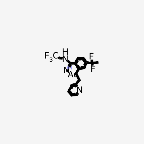 CC(=O)/N=C(/NCC(F)(F)F)c1ccc(C(C)(F)F)cc1CCc1ccccn1